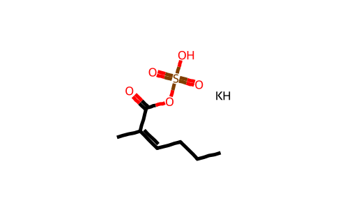 CCCC=C(C)C(=O)OS(=O)(=O)O.[KH]